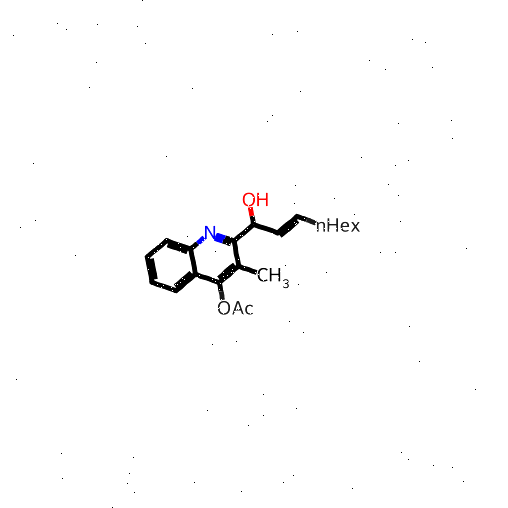 CCCCCCC=CC(O)c1nc2ccccc2c(OC(C)=O)c1C